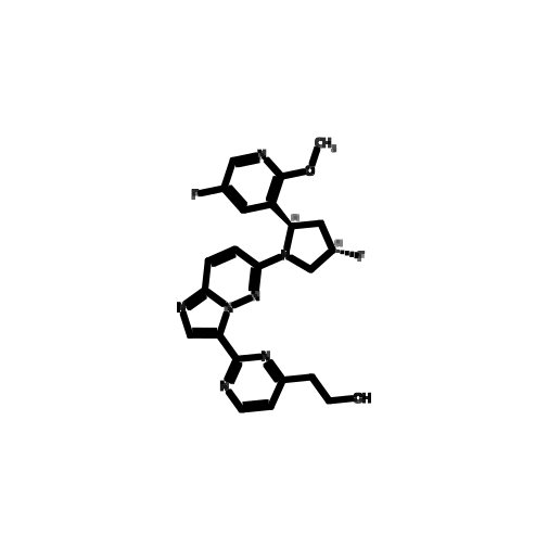 COc1ncc(F)cc1[C@H]1C[C@H](F)CN1c1ccc2ncc(-c3nccc(CCO)n3)n2n1